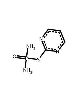 NP(N)(=O)Sc1ncccn1